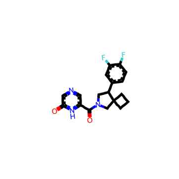 O=C(c1cncc(=O)[nH]1)N1CC(c2ccc(F)c(F)c2)C2(CCC2)C1